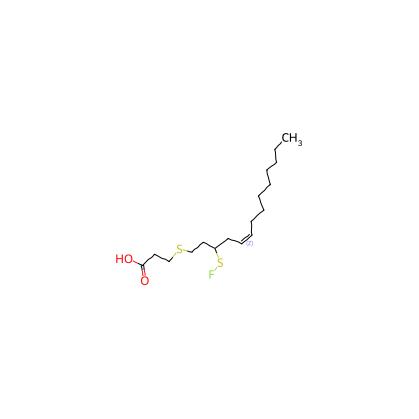 CCCCCCCC/C=C\CC(CCSCCC(=O)O)SF